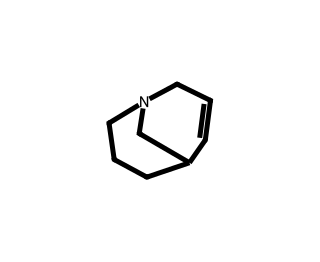 C1=CC2CCCN(C1)C2